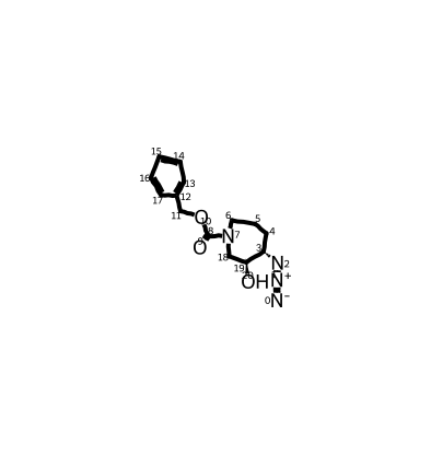 [N-]=[N+]=N[C@H]1CCCN(C(=O)OCc2ccccc2)C[C@@H]1O